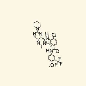 C=C/N=C1/C=NC(N2CCCCC2)=N/C1=C(/N)Nc1cc(C(=O)Nc2ccc(OC)c(C(F)(F)F)c2)ccc1Cl